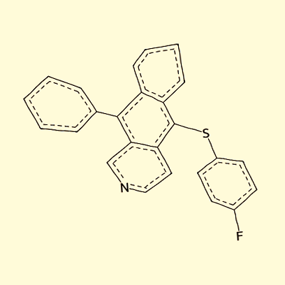 Fc1ccc(Sc2c3ccccc3c(-c3ccccc3)c3cnccc23)cc1